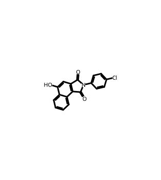 O=C1c2cc(O)c3ccccc3c2C(=O)N1c1ccc(Cl)cc1